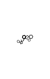 CC(=O)C1(Cc2cccc(CC3(C)CCC3=O)c2)CCCCC1=O